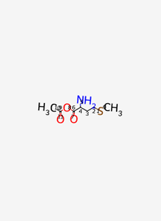 CSCCC(N)C(=O)OC(C)=O